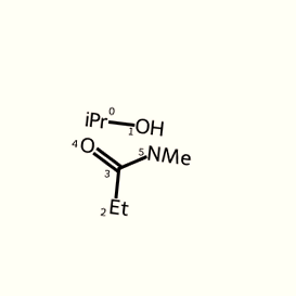 CC(C)O.CCC(=O)NC